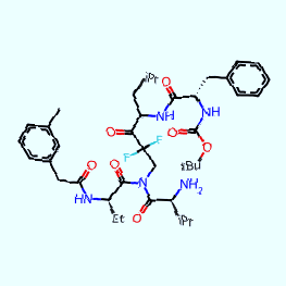 CC[C@@H](NC(=O)Cc1cccc(C)c1)C(=O)N(CC(F)(F)C(=O)C(CC(C)C)NC(=O)[C@H](Cc1ccccc1)NC(=O)OC(C)(C)C)C(=O)[C@@H](N)C(C)C